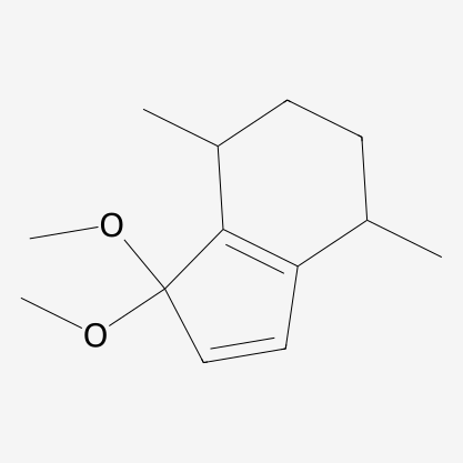 COC1(OC)C=CC2=C1C(C)CCC2C